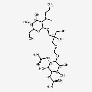 CN(CCN)C1C(OC[C@](O)(CO)COCOC2[C@@H](NC(=N)N)C(O)C(NC(=N)N)[C@H](O)[C@@H]2O)OC(CO)[C@H](O)[C@@H]1O